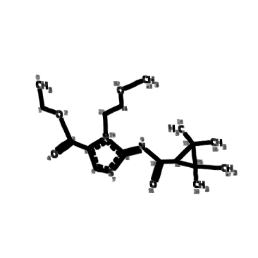 CCOC(=O)c1cs/c(=N\C(=O)C2C(C)(C)C2(C)C)n1CCOC